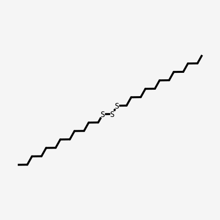 CCCCCCCCCCCCSSSCCCCCCCCCCCC